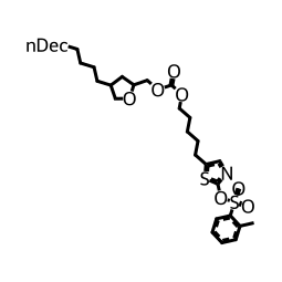 CCCCCCCCCCCCCCC1COC(COC(=O)OCCCCCc2cnc(OS(=O)(=O)c3ccccc3C)s2)C1